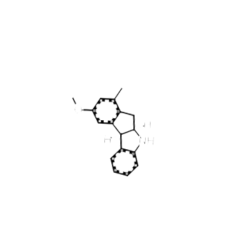 COc1cc(C)c2c(c1)[C@@H]1c3ccccc3N[C@@H]1C2